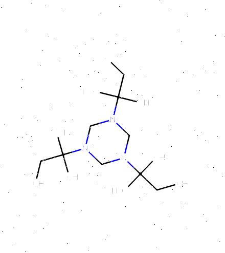 CCC(C)(C)N1CN(C(C)(C)CC)CN(C(C)(C)CC)C1